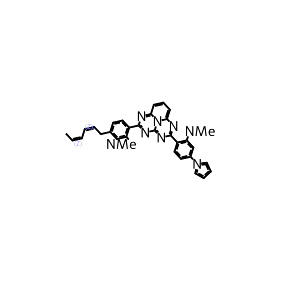 C/C=C\C=C/Cc1ccc(C2=NC3=NC(c4ccc(-n5cccc5)cc4NC)=NC4=CC=CC(=N2)N43)c(NC)c1